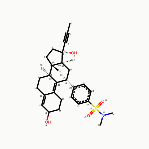 CC#C[C@]1(O)CC[C@H]2[C@@H]3CCC4=CC(O)CCC4=C3[C@@H](c3ccc(S(=O)(=O)N(C)C)cc3)C[C@@]21C